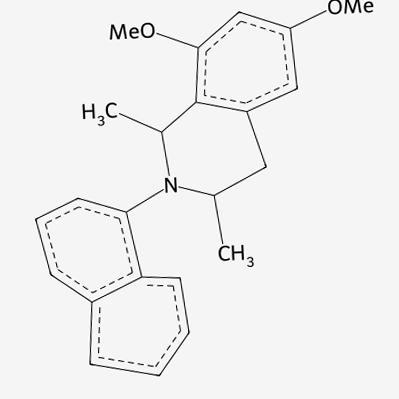 COc1cc2c(c(OC)c1)C(C)N(c1cccc3ccccc13)C(C)C2